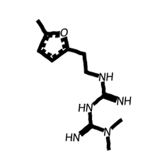 Cc1ccc(CCNC(=N)NC(=N)N(C)C)o1